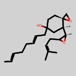 C/C=C/CC/C=C/CC1(O)CC[C@]2(CO2)[C@@](C)([C@@]2(C)OC2CC=C(C)C)C1